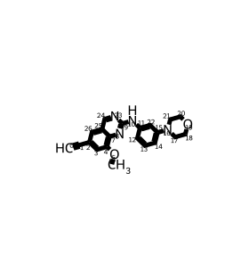 C#Cc1cc(OC)c2nc(Nc3cccc(N4CCOCC4)c3)ncc2c1